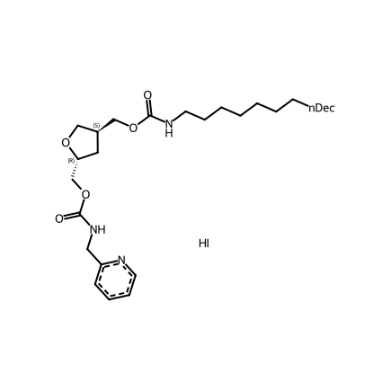 CCCCCCCCCCCCCCCCCNC(=O)OC[C@@H]1CO[C@@H](COC(=O)NCc2ccccn2)C1.I